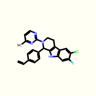 C=Cc1ccc(C2c3[nH]c4cc(F)c(Cl)cc4c3CCN2c2nccc(C#N)n2)cc1